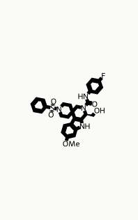 COc1ccc2c3c([nH]c2c1)[C@H](CO)N(C(=O)Nc1ccc(F)cc1)CC31CCN(S(=O)(=O)c2ccccc2)CC1